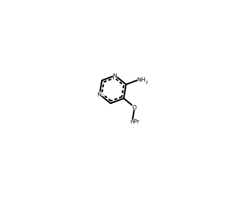 CCCOc1cncnc1N